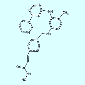 Cc1ccc(NCc2ccc(/C=C/C(=O)NO)cc2)cc1Nc1nccc(-c2cccnc2)n1